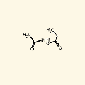 CC(C)C(N)=O.CCC(=O)O